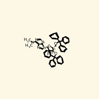 CN(C)c1ncnc2c1ncn2[C@@H]1O[C@H](COC(c2ccccc2)(c2ccccc2)c2ccccc2)[C@@H](OC(c2ccccc2)(c2ccccc2)c2ccccc2)[C@H]1F